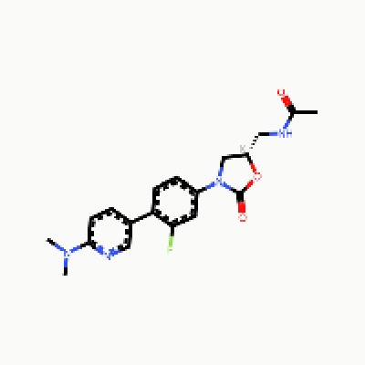 CC(=O)NC[C@H]1CN(c2ccc(-c3ccc(N(C)C)nc3)c(F)c2)C(=O)O1